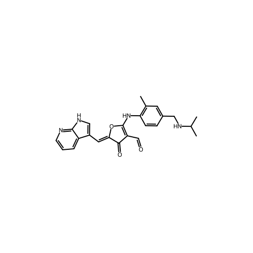 Cc1cc(CNC(C)C)ccc1NC1=C(C=O)C(=O)/C(=C/c2c[nH]c3ncccc23)O1